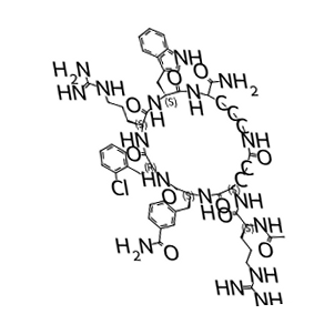 CC(=O)N[C@@H](CCCNC(=N)N)C(=O)N[C@H]1CCC(=O)NCCCC(C(N)=O)NC(=O)[C@H](Cc2c[nH]c3ccccc23)NC(=O)[C@H](CCCNC(=N)N)NC(=O)[C@@H](Cc2ccccc2Cl)NC(=O)[C@H](Cc2cccc(C(N)=O)c2)NC1=O